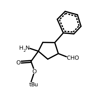 CC(C)(C)OC(=O)C1(N)CC(C=O)C(c2ccccc2)C1